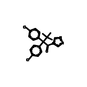 CC(C)(C)C(C(=O)n1cnnc1)(c1ccc(Cl)cc1)c1ccc(Cl)cc1